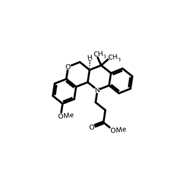 COC(=O)CCN1c2ccccc2C(C)(C)[C@@H]2COc3ccc(OC)cc3C21